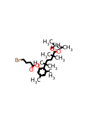 C[SiH2]OC(O[SiH2]C)C(C)(C)CCC(C)(C)c1c(C)cc(C)cc1OC(=O)CCCBr